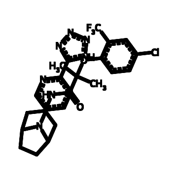 CC(C)(Oc1ccc(Cl)cc1C(F)(F)F)C(=O)NC1CC2CCC(C1)N2c1ccc(-c2nnn[nH]2)nc1